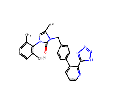 CCCCc1cn(-c2c(C)cccc2C(=O)O)c(=O)n1Cc1ccc(-c2cccnc2-c2nnn[nH]2)cc1